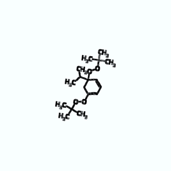 CC(C)C1(OOC(C)(C)C)C=CC=C(OOC(C)(C)C)C1